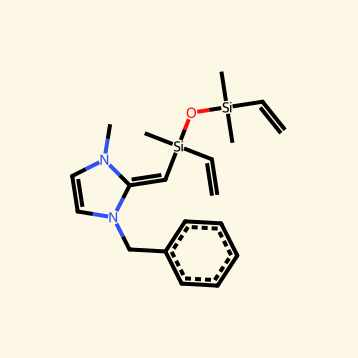 C=C[Si](C)(C)O[Si](C)(C=C)C=C1N(C)C=CN1Cc1ccccc1